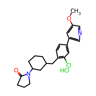 COc1cncc(-c2ccc(CC3CCCC(N4CCCC4=O)C3)c(Cl)c2)c1.Cl